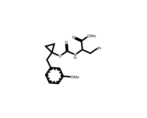 COC(=O)C(CC(C)C)NC(=O)OC1(Cc2cccc(OC)c2)CC1